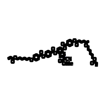 C=CC(=O)OCCCCCCOC(C)CCCC(=O)OC1CCC(C(=O)Oc2ccc(OC(=O)C3CCC(OC(=O)C4CCC(OCCCCCCOC(=O)C=C)CC4)CC3)c3c2S/C(=C(\C#N)C(=O)OC)S3)CC1